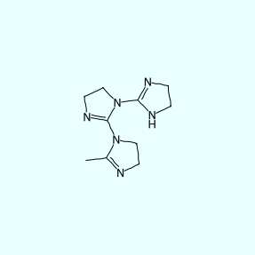 CC1=NCCN1C1=NCCN1C1=NCCN1